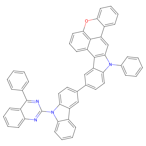 c1ccc(-c2nc(-n3c4ccccc4c4cc(-c5ccc6c(c5)c5c7cccc8c7c(cc5n6-c5ccccc5)-c5ccccc5O8)ccc43)nc3ccccc23)cc1